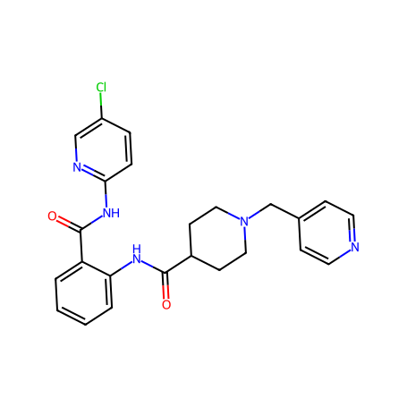 O=C(Nc1ccc(Cl)cn1)c1ccccc1NC(=O)C1CCN(Cc2ccncc2)CC1